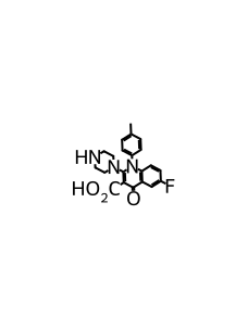 Cc1ccc(-n2c(N3CCNCC3)c(C(=O)O)c(=O)c3cc(F)ccc32)cc1